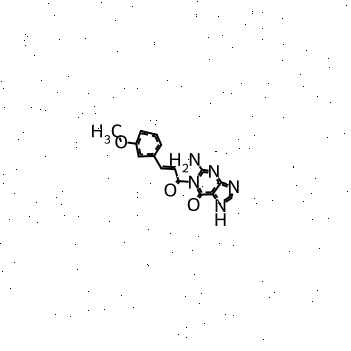 COc1cccc(C=CC(=O)n2c(N)nc3nc[nH]c3c2=O)c1